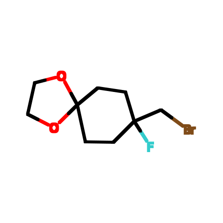 FC1(CBr)CCC2(CC1)OCCO2